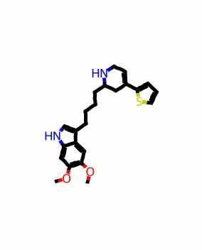 COc1cc2[nH]cc(CCCCC3CC(c4cccs4)=CCN3)c2cc1OC